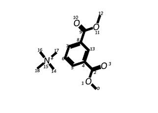 COC(=O)c1cccc(C(=O)OC)c1.C[N+](C)(C)C